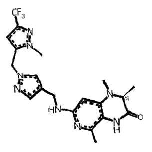 Cc1nc(NCc2cnn(Cc3cc(C(F)(F)F)nn3C)c2)cc2c1NC(=O)[C@H](C)N2C